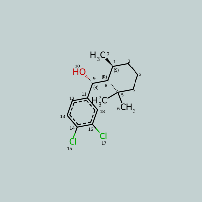 C[C@H]1CCCC(C)(C)[C@@H]1[C@@H](O)c1ccc(Cl)c(Cl)c1